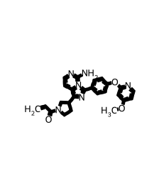 C=CC(=O)N1CCC(c2nc(-c3ccc(Oc4cc(OC)ccn4)cc3)n3c(N)nccc23)C1